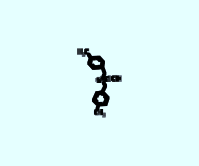 Cc1ccc([CH2][Sn][CH2]c2ccc(C)cc2)cc1.Cl.Cl